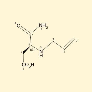 C=CCN[C@@H](CC(=O)O)C(N)=O